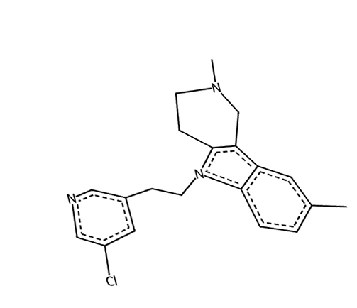 Cc1ccc2c(c1)c1c(n2CCc2cncc(Cl)c2)CCN(C)C1